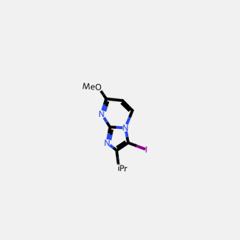 COc1ccn2c(I)c(C(C)C)nc2n1